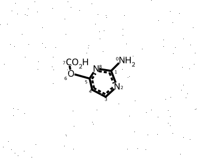 Nc1nccc(OC(=O)O)n1